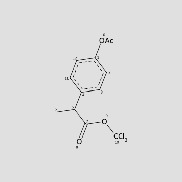 CC(=O)Oc1ccc(C(C)C(=O)OC(Cl)(Cl)Cl)cc1